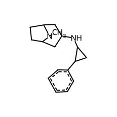 CN1C2CCC1CC(NC1CC1c1ccccc1)C2